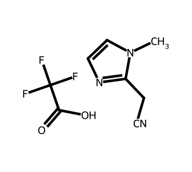 Cn1ccnc1CC#N.O=C(O)C(F)(F)F